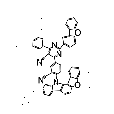 N#Cc1cc(-c2nc(-c3ccc4oc5ccccc5c4c3)nc(-c3ccccc3)c2C#N)ccc1-n1c2ccccc2c2ccc3oc4ccccc4c3c21